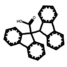 O=C(O)C1(C2c3ccccc3-c3ccccc32)c2ccccc2-c2ccccc21